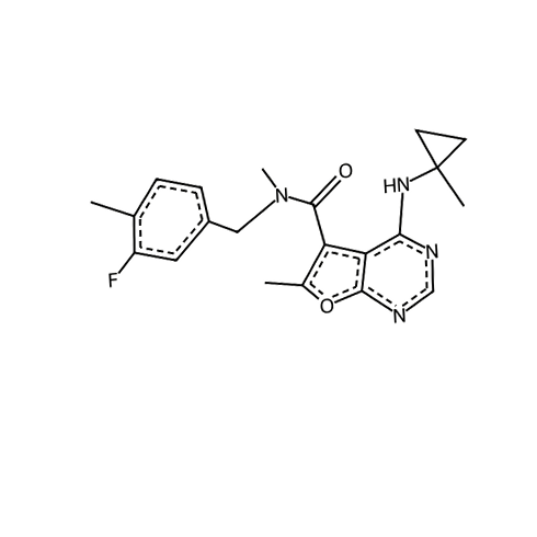 Cc1ccc(CN(C)C(=O)c2c(C)oc3ncnc(NC4(C)CC4)c23)cc1F